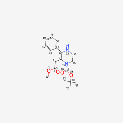 COC(=O)CC1C(c2ccccc2)NCCN1C(=O)OC(C)(C)C